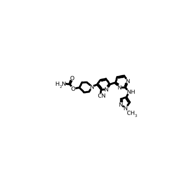 Cn1cc(Nc2nccc(-c3ccc(N4CCC(OC(N)=O)CC4)c(C#N)n3)n2)cn1